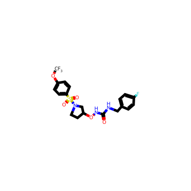 O=C(NCc1ccc(F)cc1)NOC1CCN(S(=O)(=O)c2ccc(OC(F)(F)F)cc2)C1